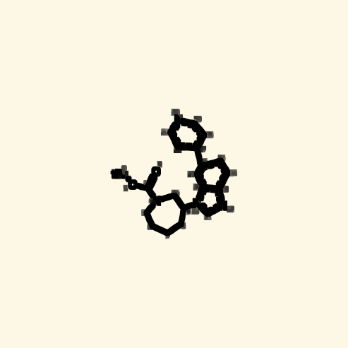 CC(C)(C)OC(=O)N1CCCCC(n2cnc3ccc(-c4ccncc4)cc32)C1